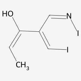 C/C=C(/O)C(=CI)/C=N\I